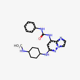 O=C(O)NC1CCC(Nc2cc(NC(=O)Nc3ccccc3)c3nccn3n2)CC1